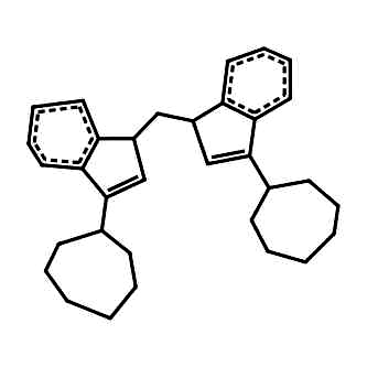 C1=C(C2CCCCCC2)c2ccccc2C1CC1C=C(C2CCCCCC2)c2ccccc21